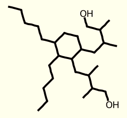 CCCCCC1CCC(CC(C)C(C)CO)C(CC(C)C(C)CO)C1CCCCC